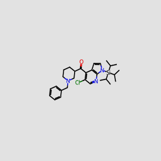 CC(C)[Si](C(C)C)(C(C)C)n1ccc2c(C(=O)C3CCCN(Cc4ccccc4)C3)c(Cl)cnc21